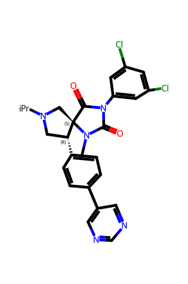 CC(C)N1C[C@@H](c2ccc(-c3cncnc3)cc2)[C@]2(C1)C(=O)N(c1cc(Cl)cc(Cl)c1)C(=O)N2C